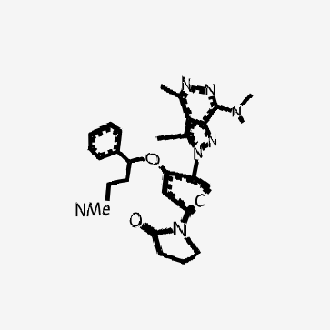 CNCCC(Oc1cc(N2CCCC2=O)ccc1-n1nc2c(N(C)C)nnc(C)c2c1C)c1ccccc1